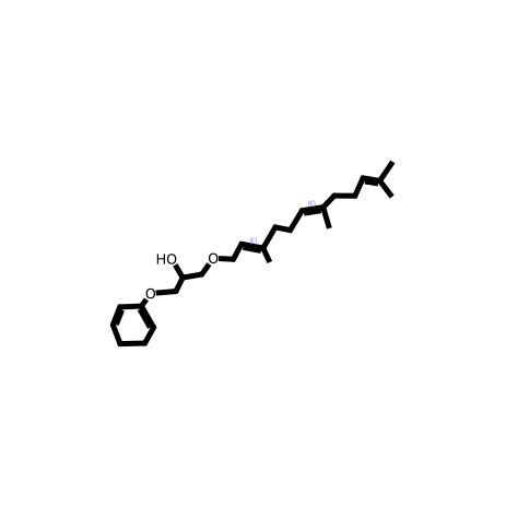 CC(C)=CCC/C(C)=C/CC/C(C)=C/COCC(O)COC1=CCCC=C1